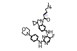 CN(C)C/C=C/C(=O)N1CC2(CC2)c2ccc(Nc3nc(Nc4ccc(N5CCOCC5)cc4)ncc3F)cc21